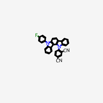 N#Cc1ccc(-n2c3ccccc3c3ccc4c(c5ccccc5n4-c4ccc(F)cc4)c32)c(C#N)c1